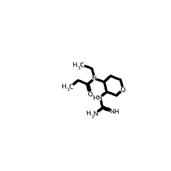 CCC(=O)N(CC)C1CCOCC1NC(=N)N